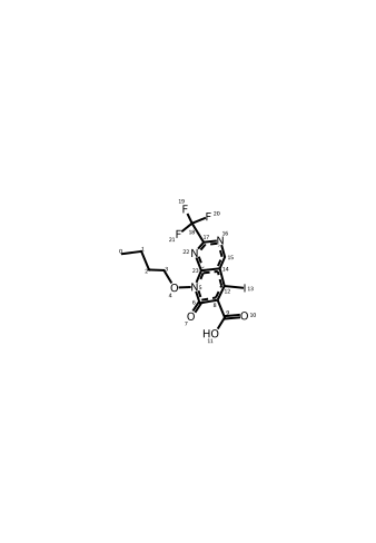 CCCCOn1c(=O)c(C(=O)O)c(I)c2cnc(C(F)(F)F)nc21